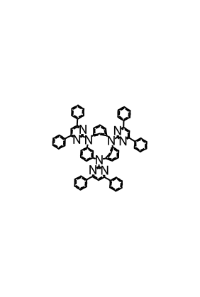 c1ccc(-c2cc(-c3ccccc3)nc(N3c4cccc(c4)N(c4nc(-c5ccccc5)cc(-c5ccccc5)n4)c4cccc(c4)N(c4nc(-c5ccccc5)cc(-c5ccccc5)n4)c4cccc3c4)n2)cc1